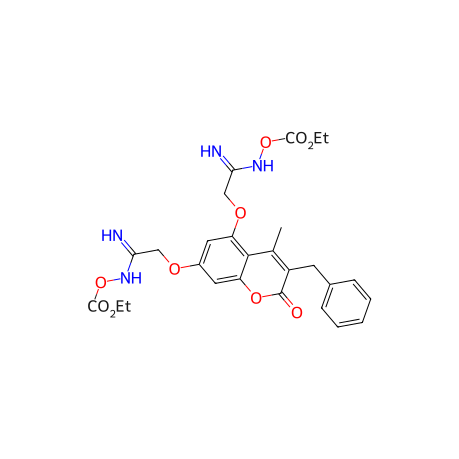 CCOC(=O)ONC(=N)COc1cc(OCC(=N)NOC(=O)OCC)c2c(C)c(Cc3ccccc3)c(=O)oc2c1